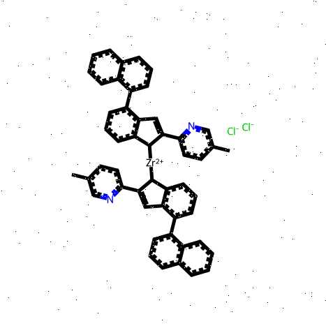 Cc1ccc(C2=Cc3c(-c4cccc5ccccc45)cccc3[CH]2[Zr+2][CH]2C(c3ccc(C)cn3)=Cc3c(-c4cccc5ccccc45)cccc32)nc1.[Cl-].[Cl-]